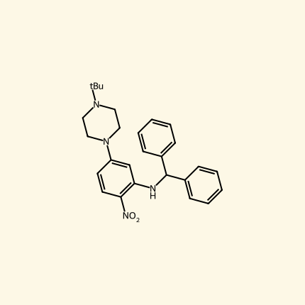 CC(C)(C)N1CCN(c2ccc([N+](=O)[O-])c(NC(c3ccccc3)c3ccccc3)c2)CC1